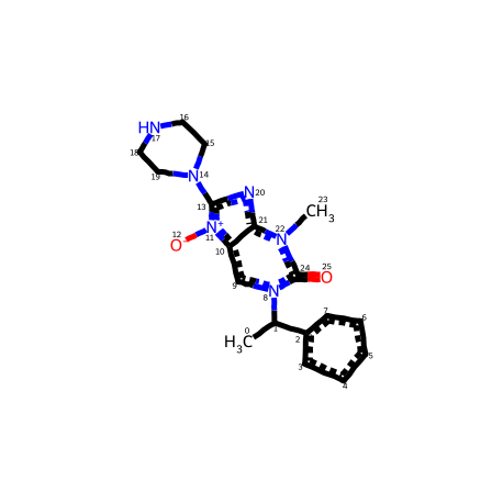 CC(c1ccccc1)n1cc2[n+]([O-])c(N3CCNCC3)nc-2n(C)c1=O